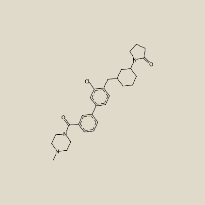 CN1CCN(C(=O)c2cccc(-c3ccc(CC4CCCC(N5CCCC5=O)C4)c(Cl)c3)c2)CC1